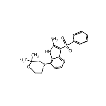 CC1(C)CN(c2ccnc3c(S(=O)(=O)c4ccccc4)c(N)[nH]c23)CCO1